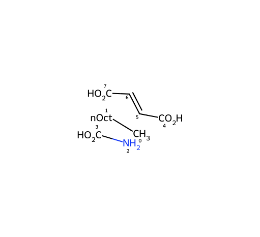 CCCCCCCCC.NC(=O)O.O=C(O)/C=C/C(=O)O